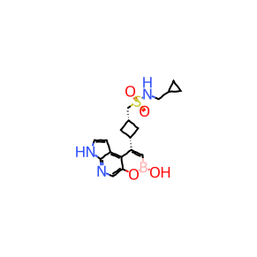 O=S(=O)(C[C@H]1C[C@@H](C2=CB(O)Oc3cnc4[nH]ccc4c32)C1)NCC1CC1